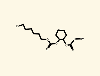 CC(C)CCCCCCOC(=O)OC1CCCCC1OC(=O)OC(C)C